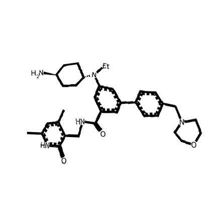 CCN(c1cc(C(=O)NCc2c(C)cc(C)[nH]c2=O)cc(-c2ccc(CN3CCOCC3)cc2)c1)[C@H]1CC[C@H](N)CC1